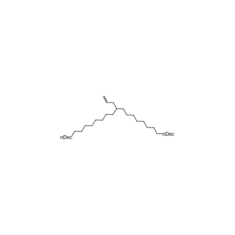 C=CCC(CCCCCCCCCCCCCCCCCC)CCCCCCCCCCCCCCCCCC